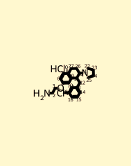 Cl.NCCOc1ccc2c(c1)C(Cc1cccc(Cl)c1)C(N1CCCC1)CC2